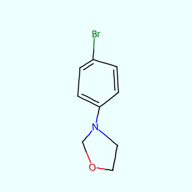 Brc1ccc(N2CCOC2)cc1